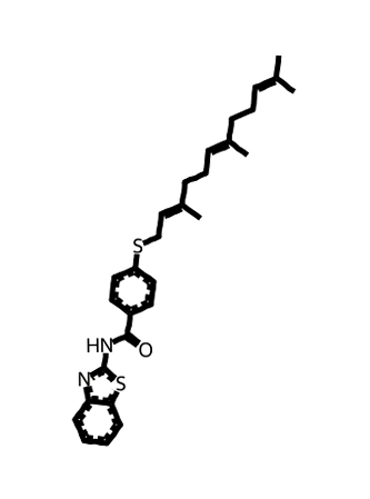 CC(C)=CCC/C(C)=C/CC/C(C)=C/CSc1ccc(C(=O)Nc2nc3ccccc3s2)cc1